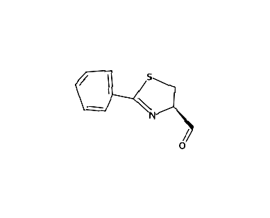 O=C[C@@H]1CSC(c2ccccc2)=N1